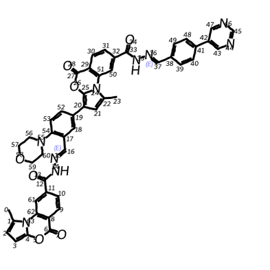 Cc1ccc2oc(=O)c3ccc(C(=O)N/N=C/c4cc(-c5cc(C)n6c5oc(=O)c5ccc(C(=O)N/N=C/c7ccc(-c8cncnc8)cc7)cc56)ccc4N4CCOCC4)cc3n12